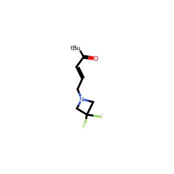 CC(C)(C)C(=O)/C=C/CN1CC(F)(F)C1